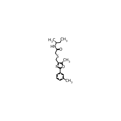 CCC(C)NC(=O)CSCc1nc(-c2cccc(C)c2)oc1C